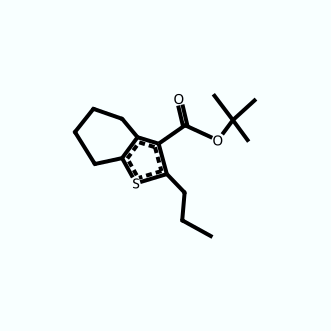 CCCc1sc2c(c1C(=O)OC(C)(C)C)CCCC2